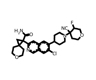 N#CC1(N2CCC(c3cc4cc(C5(C(N)=O)CC56CCOCC6)ncc4cc3Cl)CC2)CCOCC1F